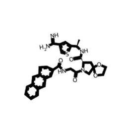 C[C@@H](NC(=O)[C@@H]1CC2(CN1C(=O)CNC(=O)c1ccc3cc4ccccc4cc3c1)OCCO2)c1cc(C(=N)N)cs1